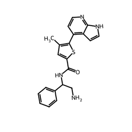 Cc1cc(C(=O)NC(CN)c2ccccc2)sc1-c1ccnc2[nH]ccc12